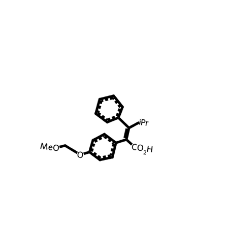 COCOc1ccc(C(C(=O)O)=C(c2ccccc2)C(C)C)cc1